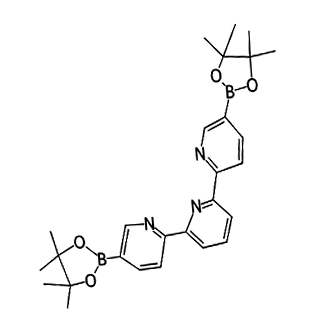 CC1(C)OB(c2ccc(-c3cccc(-c4ccc(B5OC(C)(C)C(C)(C)O5)cn4)n3)nc2)OC1(C)C